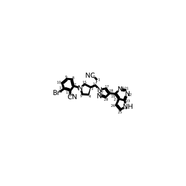 N#CC[C@@H]([C@H]1CCN(c2cccc(Br)c2C#N)C1)n1cc(-c2ncnc3[nH]ccc23)cn1